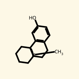 CN1CCC23CCCCC2(CCc2ccc(O)cc23)C1